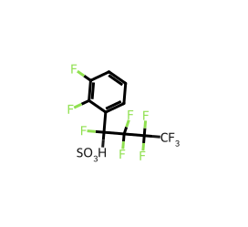 O=S(=O)(O)C(F)(c1cccc(F)c1F)C(F)(F)C(F)(F)C(F)(F)F